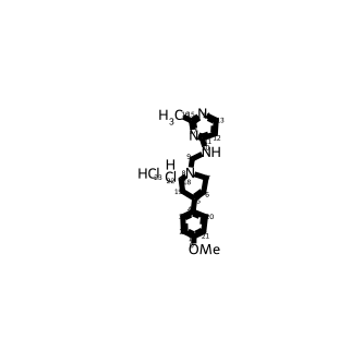 COc1ccc(C2=CCN(CNc3ccnc(C)n3)CC2)cc1.Cl.Cl